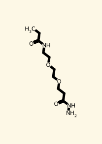 CCC(=O)NCCOCCOCCC(=O)NN